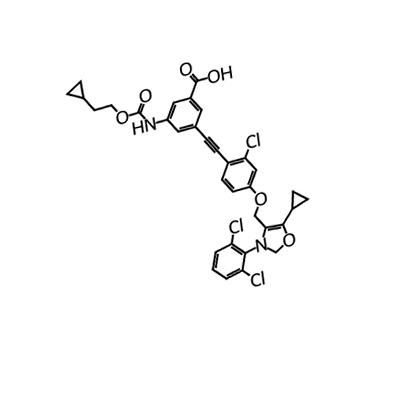 O=C(Nc1cc(C#Cc2ccc(OCC3=C(C4CC4)OCN3c3c(Cl)cccc3Cl)cc2Cl)cc(C(=O)O)c1)OCCC1CC1